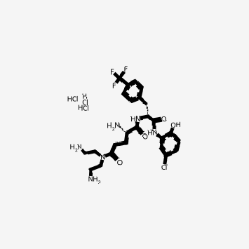 Cl.Cl.Cl.NCCN(CCN)C(=O)CC[C@H](N)C(=O)N[C@H](Cc1ccc(C(F)(F)F)cc1)C(=O)Nc1cc(Cl)ccc1O